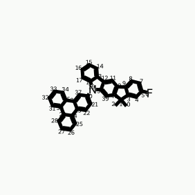 CC1(C)c2cc(F)ccc2-c2cc3c4ccccc4n(-c4ccc5c6ccccc6c6ccccc6c5c4)c3cc21